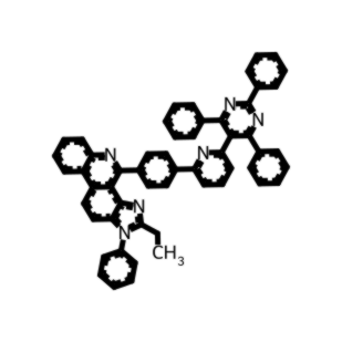 CCc1nc2c3c(-c4ccc(-c5cccc(-c6c(-c7ccccc7)nc(-c7ccccc7)nc6-c6ccccc6)n5)cc4)nc4ccccc4c3ccc2n1-c1ccccc1